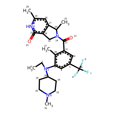 CCN(c1cc(C(F)(F)F)cc(C(=O)N2Cc3c(cc(C)[nH]c3=O)C2C)c1C)C1CCN(C)CC1